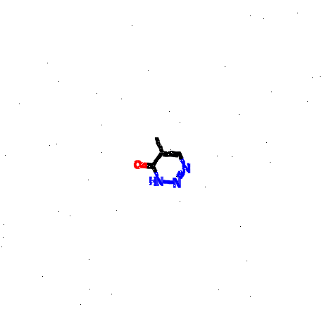 Cc1cnn[nH]c1=O